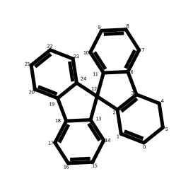 C1=CC2=C(CC1)c1ccccc1C21c2ccccc2-c2ccccc21